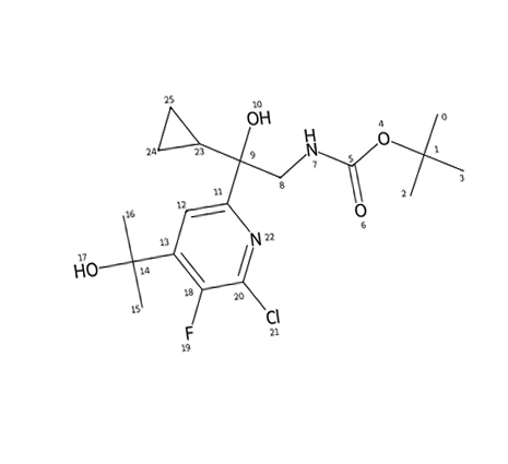 CC(C)(C)OC(=O)NCC(O)(c1cc(C(C)(C)O)c(F)c(Cl)n1)C1CC1